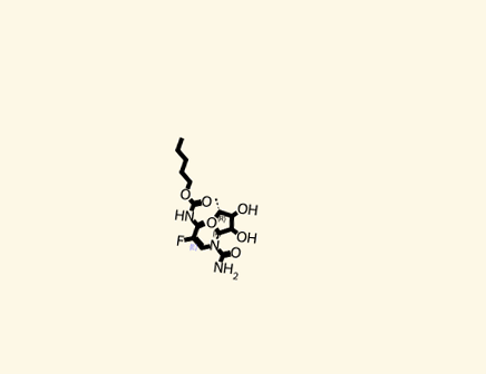 C=C(NC(=O)OCCCCC)/C(F)=C\N(C(N)=O)[C@@H]1O[C@H](C)C(O)C1O